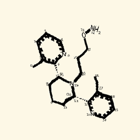 Cc1cccnc1[C@H]1CCC[C@@H](c2ncccc2C)N1CCCON